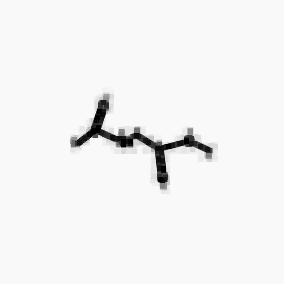 [CH2]C(=O)NCC(=O)OC